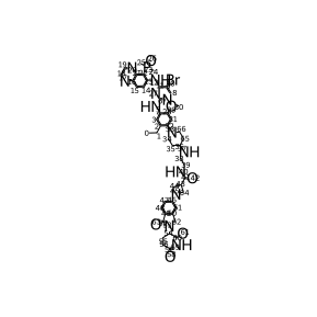 CCc1cc(Nc2ncc(Br)c(Nc3ccc4nccnc4c3P(C)(C)=O)n2)c(OC)cc1N1CCC(NCCNC(=O)C2CN(c3ccc4c(c3)CN(C3CCC(=O)NC3=O)C4=O)C2)CC1